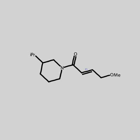 COC/C=C/C(=O)N1CCCC(C(C)C)C1